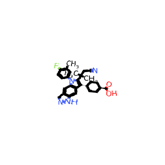 Cc1cc(-n2c(C(C)(C)CC#N)c([C@H]3CC[C@H](C(=O)O)CC3)c3cc4[nH]ncc4cc32)ccc1F